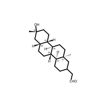 C[C@@]1(O)CC[C@H]2[C@H](CC[C@@H]3[C@@H]2CC[C@@]2(C)CC(CC=O)CC[C@@H]32)C1